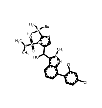 CN(C)S(=O)(=O)n1c(C(O)c2c3cccc(-c4ccc(Cl)cc4Cl)c3nn2C)cnc1[Si](C)(C)C(C)(C)C